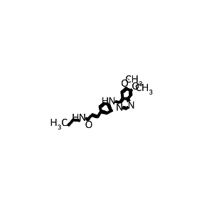 CCCCNC(=O)/C=C/c1ccc(Nc2ncnc3cc(OC)c(OC)cc23)cc1